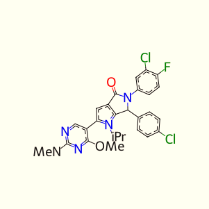 CNc1ncc(-c2cc3c(n2C(C)C)C(c2ccc(Cl)cc2)N(c2ccc(F)c(Cl)c2)C3=O)c(OC)n1